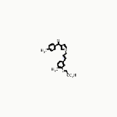 Cc1ccc(C(=O)c2ccn(C/C=C/c3ccc(C)c(OCC(=O)O)c3)c2)cc1